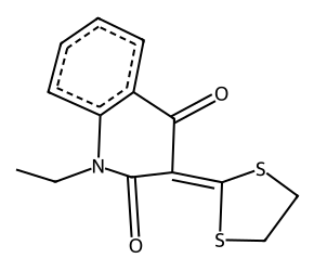 CCN1C(=O)C(=C2SCCS2)C(=O)c2ccccc21